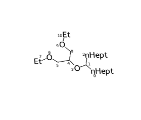 CCCCCCCC(CCCCCCC)OC(COCC)COCC